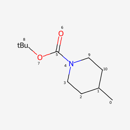 CC1CCN(C(=O)OC(C)(C)C)CC1